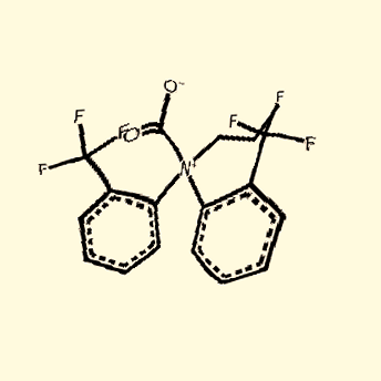 CCC[N+](C(=O)[O-])(c1ccccc1C(F)(F)F)c1ccccc1C(F)(F)F